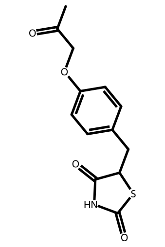 CC(=O)COc1ccc(CC2SC(=O)NC2=O)cc1